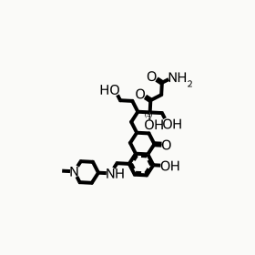 CN1CCC(NCc2ccc(O)c3c2CC(CC(CCO)[C@](O)(CO)C(=O)CC(N)=O)CC3=O)CC1